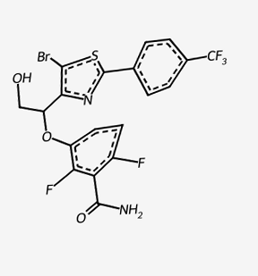 NC(=O)c1c(F)ccc(OC(CO)c2nc(-c3ccc(C(F)(F)F)cc3)sc2Br)c1F